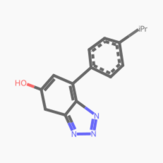 CC(C)c1ccc(C2=C3N=NN=C3CC(O)=C2)cc1